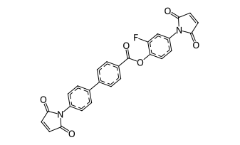 O=C(Oc1ccc(N2C(=O)C=CC2=O)cc1F)c1ccc(-c2ccc(N3C(=O)C=CC3=O)cc2)cc1